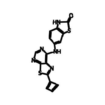 O=c1[nH]c2ccc(Nc3ncnc4sc(C5=CC=C5)nc34)cc2s1